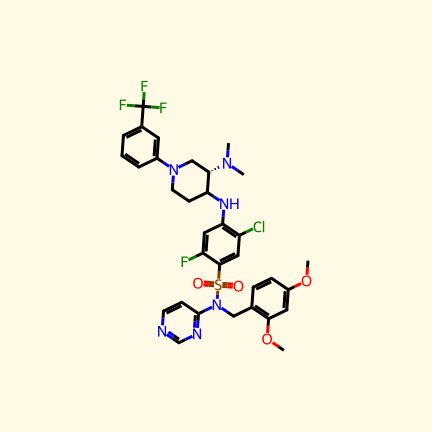 COc1ccc(CN(c2ccncn2)S(=O)(=O)c2cc(Cl)c(NC3CCN(c4cccc(C(F)(F)F)c4)C[C@@H]3N(C)C)cc2F)c(OC)c1